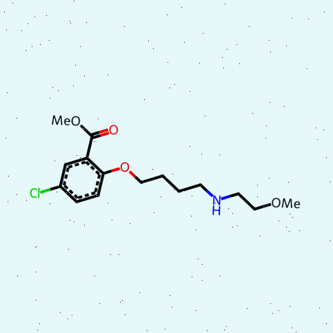 COCCNCCCCOc1ccc(Cl)cc1C(=O)OC